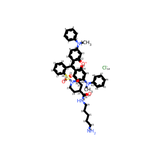 CN(c1ccccc1)c1ccc2c(-c3ccccc3S(=O)(=O)N3CCC(C(=O)NCCCCCN)CC3)c3ccc(N(C)c4ccccc4)cc3[o+]c2c1.[Cl-]